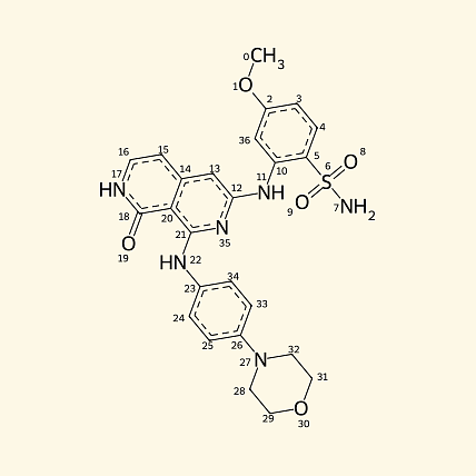 COc1ccc(S(N)(=O)=O)c(Nc2cc3cc[nH]c(=O)c3c(Nc3ccc(N4CCOCC4)cc3)n2)c1